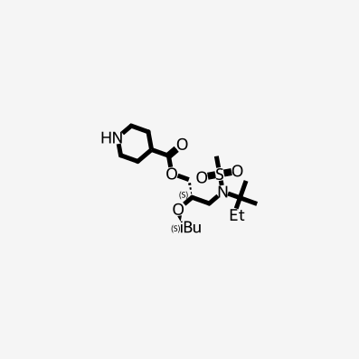 CC[C@H](C)O[C@H](COC(=O)C1CCNCC1)CN(C(C)(C)CC)S(C)(=O)=O